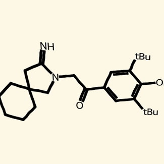 CC(C)(C)c1cc(C(=O)CN2CC3(CCCCC3)CC2=N)cc(C(C)(C)C)c1O